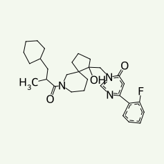 CC(CC1CCCCC1)C(=O)N1CCCC2(CCCC2(O)Cn2cnc(-c3ccccc3F)cc2=O)C1